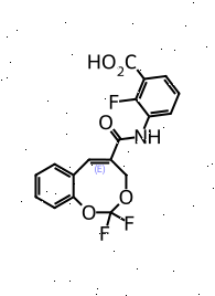 O=C(Nc1cccc(C(=O)O)c1F)/C1=C/c2ccccc2OC(F)(F)OC1